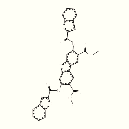 COC(=O)c1cc2c(cc1NC(=O)c1cc3ccccc3s1)sc1cc(NC(=O)c3cc4ccccc4s3)c(C(=O)OC)cc12